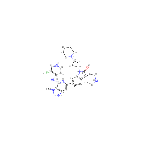 CCn1cnc2cc(-c3ccc4c(c3)N([C@H]3C[C@@H](N5CCCCC5)C3)C(=O)C43CCNCC3)nc(Nc3ccncc3F)c21